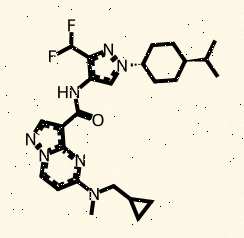 CC(C)[C@H]1CC[C@H](n2cc(NC(=O)c3cnn4ccc(N(C)CC5CC5)nc34)c(C(F)F)n2)CC1